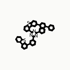 C1=CC2Sc3c(-c4cccc(-c5nc(-c6ccccc6)nc(-c6cccc7sc8ccc(-c9ccc(-c%10ccccc%10)cc9)cc8c67)n5)c4)cccc3C2C=C1